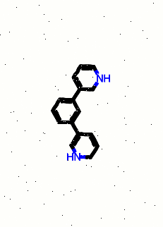 C1=CNCC(c2cccc(C3=CNCC=C3)c2)=C1